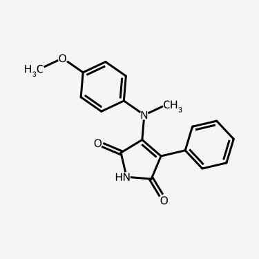 COc1ccc(N(C)C2=C(c3ccccc3)C(=O)NC2=O)cc1